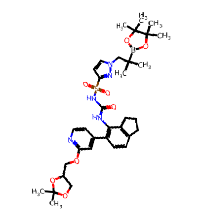 CC1(C)OCC(COc2cc(-c3ccc4c(c3NC(=O)NS(=O)(=O)c3ccn(CC(C)(C)B5OC(C)(C)C(C)(C)O5)n3)CCC4)ccn2)O1